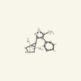 Cc1onc(C2[C@H]3CNC[C@@H]23)c1-c1ccccc1